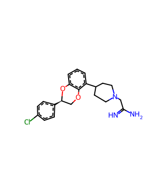 N=C(N)CN1CCC(c2cccc3c2OC[C@@H](c2ccc(Cl)cc2)O3)CC1